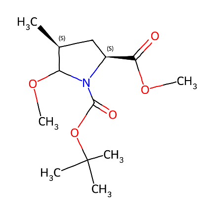 COC(=O)[C@@H]1C[C@H](C)C(OC)N1C(=O)OC(C)(C)C